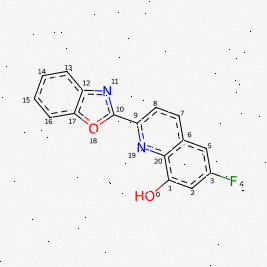 Oc1cc(F)cc2ccc(-c3nc4ccccc4o3)nc12